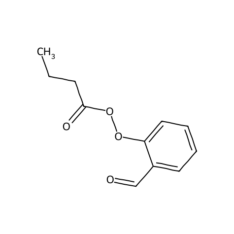 CCCC(=O)OOc1ccccc1C=O